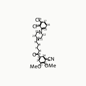 COc1cc(C(=O)CCCCN2CCN(c3cccc(Cl)c3Cl)CC2)cc(C#N)c1OC